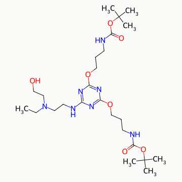 CCN(CCO)CCNc1nc(OCCCNC(=O)OC(C)(C)C)nc(OCCCNC(=O)OC(C)(C)C)n1